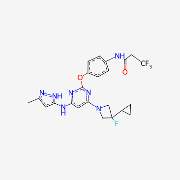 Cc1cc(Nc2cc(N3CC(F)(C4CC4)C3)nc(Oc3ccc(NC(=O)CC(F)(F)F)cc3)n2)[nH]n1